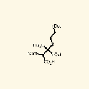 CCCCCCCCCCCCSC(CCCCCCCC)(C(=O)O)C(CCCCCCCC)C(=O)O